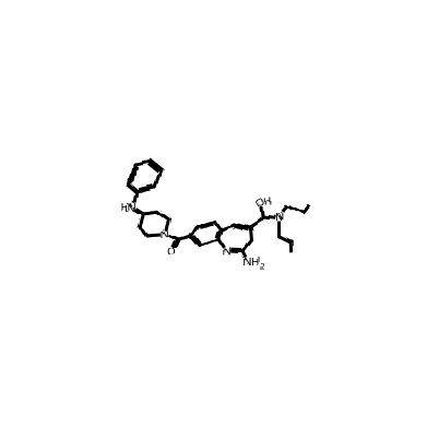 CCCN(CCC)C(O)C1=Cc2ccc(C(=O)N3CCC(Nc4ccccc4)CC3)cc2N=C(N)C1